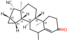 CC1C[C@H]2[C@@H]3[C@@H]4C[C@@H]4[C@H](C#N)[C@@]3(C)CC[C@@H]2[C@@]2(C)CCC(=O)C=C12